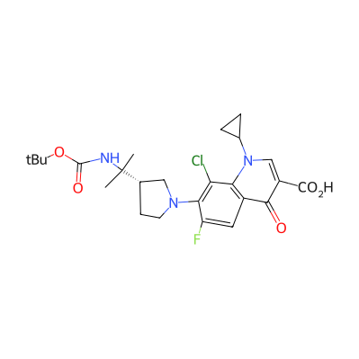 CC(C)(C)OC(=O)NC(C)(C)[C@H]1CCN(c2c(F)cc3c(=O)c(C(=O)O)cn(C4CC4)c3c2Cl)C1